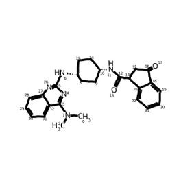 CN(C)c1nc(N[C@H]2CC[C@@H](NC(=O)C3CC(=O)c4ccccc43)CC2)nc2ccccc12